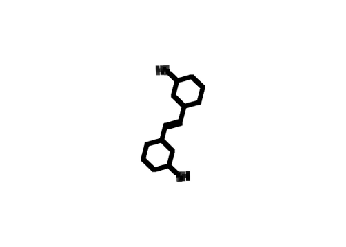 SC1CCCC(C=CC2CCCC(S)C2)C1